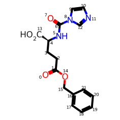 O=C(CC[C@H](NC(=O)n1ccnc1)C(=O)O)OCc1ccccc1